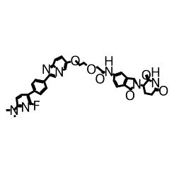 CN(C)c1ccc(-c2ccc(-c3cn4cc(OCCOCC(=O)Nc5ccc6c(c5)CN(C5CCC(=O)NC5=O)C6=O)ccc4n3)cc2)c(F)n1